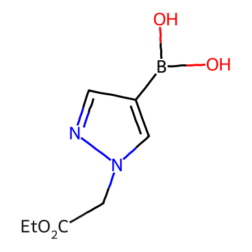 CCOC(=O)Cn1cc(B(O)O)cn1